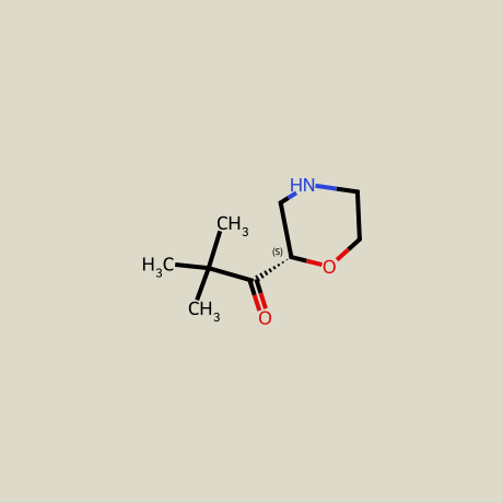 CC(C)(C)C(=O)[C@@H]1CNCCO1